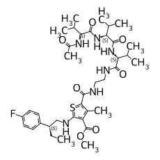 CC[C@H](CNc1sc(C(=O)NCCNC(=O)[C@@H](NC(=O)[C@@H](NC(=O)[C@@H](NC(C)=O)C(C)C)C(C)C)C(C)C)c(C)c1C(=O)OC)c1ccc(F)cc1